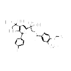 COc1cc(C(=O)NCC(O)(c2cc3c(c(-c4ccc(F)cc4)n2)NCC3(C)N)C(F)(F)F)ccc1OCC(C)=O